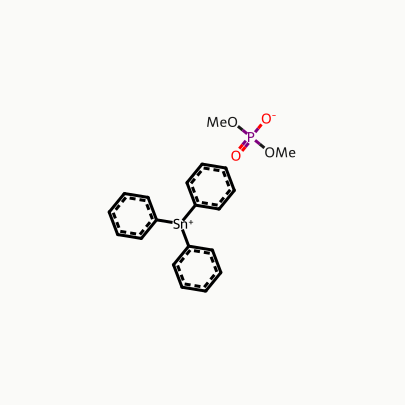 COP(=O)([O-])OC.c1cc[c]([Sn+]([c]2ccccc2)[c]2ccccc2)cc1